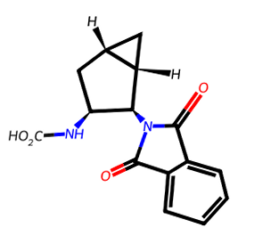 O=C(O)N[C@H]1C[C@@H]2C[C@@H]2[C@H]1N1C(=O)c2ccccc2C1=O